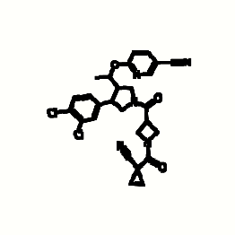 CC(Oc1ccc(C#N)cn1)C1CN(C(=O)C2CN(C(=O)C3(C#N)CC3)C2)CC1c1ccc(Cl)c(Cl)c1